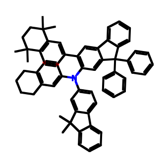 CC1(C)CCC(C)(C)c2cc(-c3cc4c(cc3N(c3ccc5c(c3)CCCC5)c3ccc5c(c3)C(C)(C)c3ccccc3-5)C(c3ccccc3)(c3ccccc3)c3ccccc3-4)ccc21